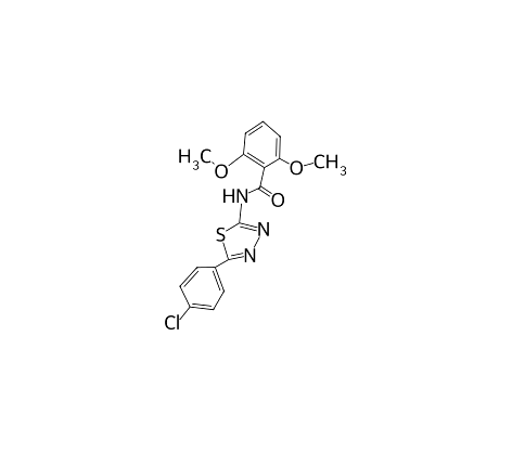 COc1cccc(OC)c1C(=O)Nc1nnc(-c2ccc(Cl)cc2)s1